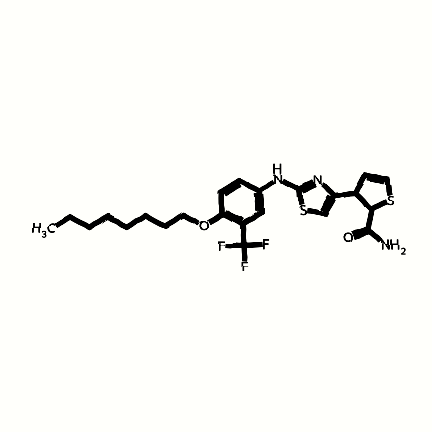 CCCCCCCCOc1ccc(Nc2nc(C3C=CSC3C(N)=O)cs2)cc1C(F)(F)F